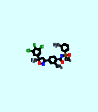 Cc1cc(C2=NOC(c3cc(Cl)c(F)c(Cl)c3)(C(F)(F)F)C2)ccc1C(=O)N=S(C)(=O)c1cccc(C(F)(F)F)c1